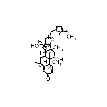 CSc1ccc(CN2C[C@@H]3C[C@H]4[C@@H]5C[C@H](F)C6=CC(=O)C=C[C@]6(C)[C@@]5(F)[C@@H](O)C[C@]4(C)[C@]3(C(=O)CO)O2)s1